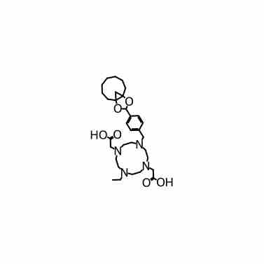 CCN1CCN(CC(=O)O)CCN(Cc2ccc(C3OC45CCCCCCCC4(C5)O3)cc2)CCN(CC(=O)O)CC1